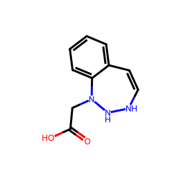 O=C(O)Cn1[nH][nH]ccc2ccccc21